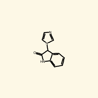 O=C1Nc2ccccc2C1n1ccnc1